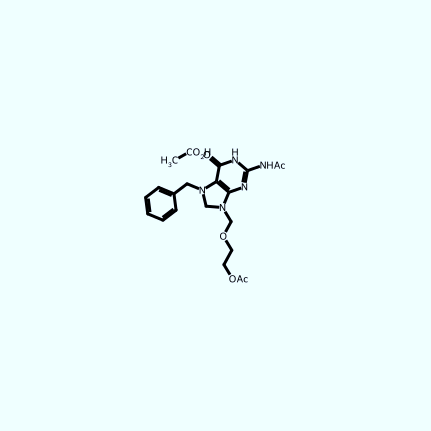 CC(=O)Nc1nc2c(c(=O)[nH]1)N(Cc1ccccc1)CN2COCCOC(C)=O.CC(=O)O